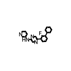 Fc1c(-c2ccccc2)cccc1-c1cnc(Nc2cccnc2)cn1